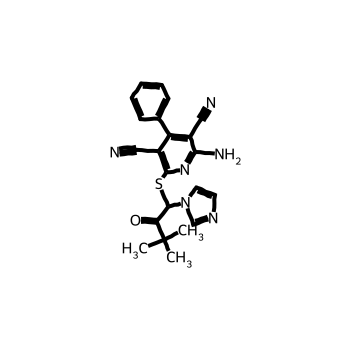 CC(C)(C)C(=O)C(Sc1nc(N)c(C#N)c(-c2ccccc2)c1C#N)n1ccnc1